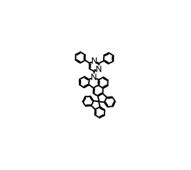 c1ccc(-c2cc(N3c4ccccc4-c4cc5c(c6cccc3c46)-c3ccccc3C53c4ccccc4-c4ccccc43)nc(-c3ccccc3)n2)cc1